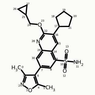 Cc1noc(C)c1-c1cc(S(N)(=O)=O)c2cc(C3CCCC3)c(OCC3CC3)nc2c1